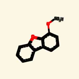 O=S(=O)(O)Oc1cccc2c1oc1ccccc12